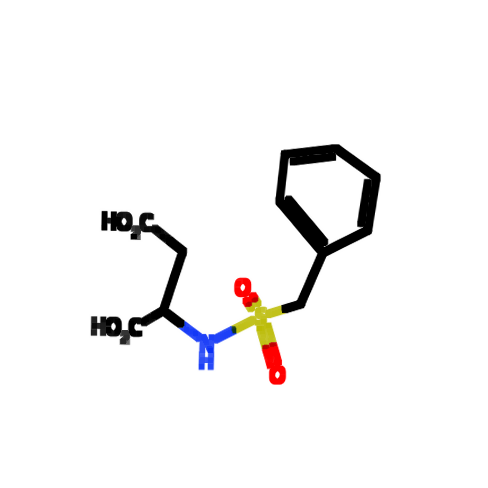 O=C(O)CC(NS(=O)(=O)Cc1ccccc1)C(=O)O